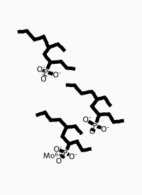 CCCCC(CC)CC(CCC)P(=O)([O-])[O-].CCCCC(CC)CC(CCC)P(=O)([O-])[O-].CCCCC(CC)CC(CCC)P(=O)([O-])[O-].[Mo+6]